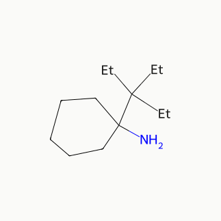 CCC(CC)(CC)C1(N)CCCCC1